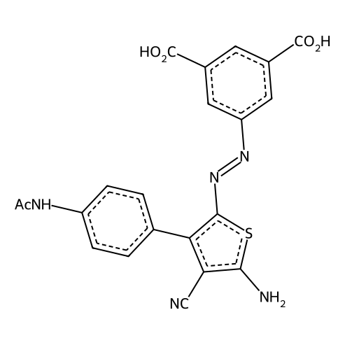 CC(=O)Nc1ccc(-c2c(N=Nc3cc(C(=O)O)cc(C(=O)O)c3)sc(N)c2C#N)cc1